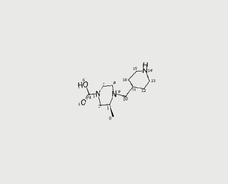 C[C@H]1CN(C(=O)O)CCN1CC1CCNCC1